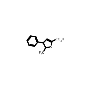 O=C(O)C1=CC(c2ccccc2)C(C(F)(F)F)S1